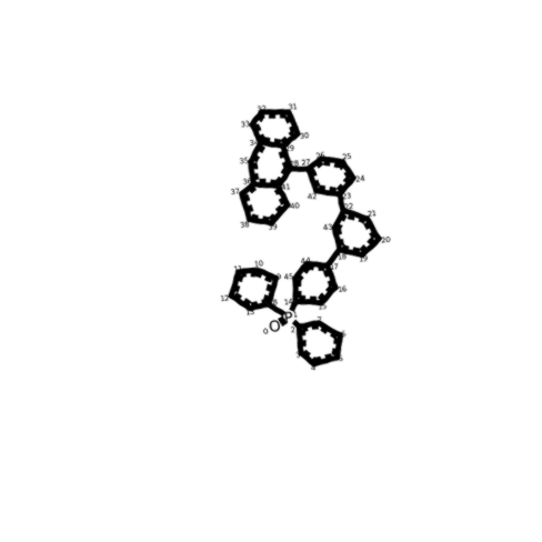 O=P(c1ccccc1)(c1ccccc1)c1ccc(-c2cccc(-c3cccc(-c4c5ccccc5cc5ccccc45)c3)c2)cc1